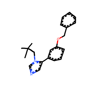 CC(C)(C)Cn1cncc1-c1cccc(OCc2ccccc2)c1